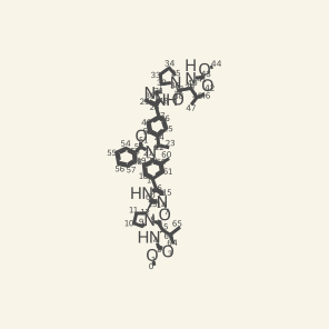 COC(=O)N[C@H](C(=O)N1CCC[C@H]1c1ncc(-c2ccc(N3C(C)c4ccc(-c5cnc([C@@H]6CCCN6C(=O)[C@@H](NC(=O)OC)C(C)C)[nH]5)cc4OC3c3ccccc3)c(C)c2)[nH]1)C(C)C